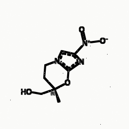 C[C@@]1(CO)CCn2cc([N+](=O)[O-])nc2O1